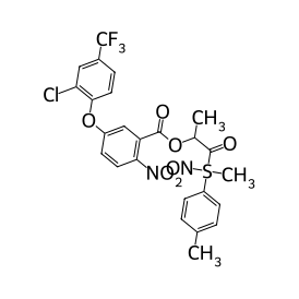 Cc1ccc(S(C)(N=O)C(=O)C(C)OC(=O)c2cc(Oc3ccc(C(F)(F)F)cc3Cl)ccc2[N+](=O)[O-])cc1